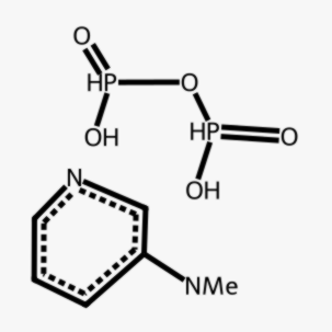 CNc1cccnc1.O=[PH](O)O[PH](=O)O